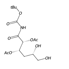 CC(=O)O[C@@H](C[C@H](O)CO)[C@@H](OC(C)=O)C(=O)NC(=O)OC(C)(C)C